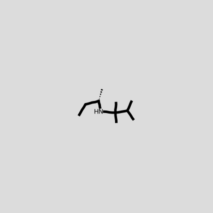 CC[C@H](C)NC(C)(C)C(C)C